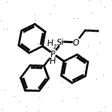 CCO[SiH2][PH](c1ccccc1)(c1ccccc1)c1ccccc1